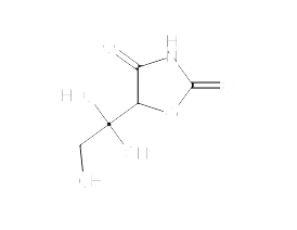 CCC(C)(C)C1OC(=O)NC1=O